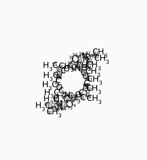 CC(C)C[C@H]1CO[C@H](C)CN(C)[C@@H](CC(C)C)CO[C@H](Cc2ccc(Cn3cc(C(C)C)cn3)cc2)CN(C)[C@@H](CC(C)C)CO[C@H](C)CN(C)[C@@H](CC(C)C)CO[C@H](Cc2ccc(Cn3cc(C(C)C)cn3)cc2)CN1C